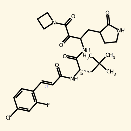 CC(C)(C)C[C@H](NC(=O)/C=C/c1ccc(Cl)cc1F)C(=O)NC(CC1CCNC1=O)C(=O)C(=O)N1CCC1